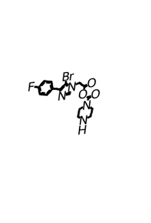 O=C(Cn1cnc(-c2ccc(F)cc2)c1Br)OC(=O)N1CCNCC1